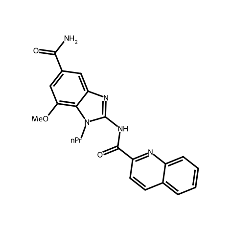 CCCn1c(NC(=O)c2ccc3ccccc3n2)nc2cc(C(N)=O)cc(OC)c21